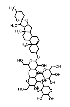 CC1CCC2(OC1)OC1CC3C4CC=C5CC(OC6OC(CO)C(OC7OC(CO)C(O)C(OC8COC(O)C(O)C8O)C7OC7OC(CO)C(O)C(O)C7O)C(O)C6O)CCC5(C)C4CCC3(C)C1C2C